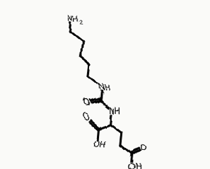 NCCCCCNC(=O)NC(CCC(=O)O)C(=O)O